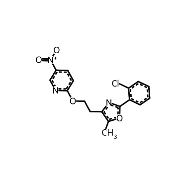 Cc1oc(-c2ccccc2Cl)nc1CCOc1ccc([N+](=O)[O-])cn1